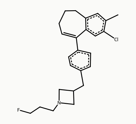 Cc1cc2c(cc1Cl)C(c1ccc(CC3CN(CCCF)C3)cc1)=CCCC2